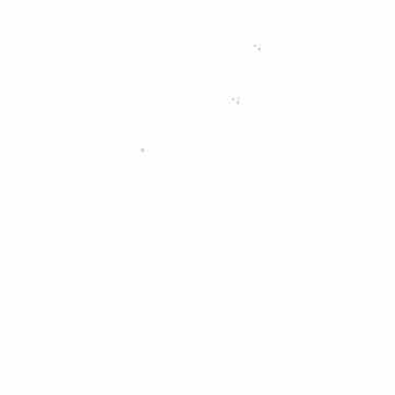 CCCCSC(CCCn1ccnc1)c1ccc(Cl)cc1Cl